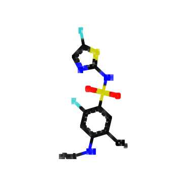 CCCCCNc1cc(F)c(S(=O)(=O)Nc2ncc(F)s2)cc1C